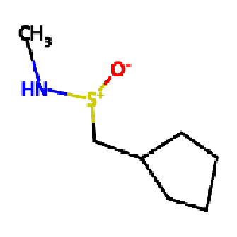 CN[S+]([O-])CC1CCCC1